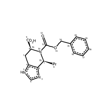 CC(C)[C@H]1c2nc[nH]c2C[C@@H](C(=O)O)N1C(=O)OCc1ccccc1